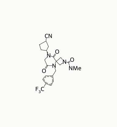 CNC(=O)N1CC2(C1)C(=O)N([C@H]1CCC(C#N)C1)CC(=O)N2Cc1ccc(C(F)(F)F)cc1